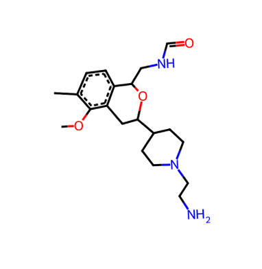 COc1c(C)ccc2c1CC(C1CCN(CCN)CC1)OC2CNC=O